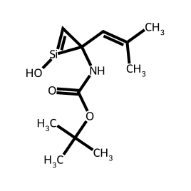 CC(C)=CC1(NC(=O)OC(C)(C)C)C=[Si]1O